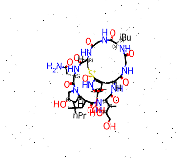 CCCC(C)(C)CC1C(=O)N[C@@H]([C@@H](C)[C@@H](O)CO)C(=O)N[C@H]2Cc3c([nH]c4cc(O)ccc34)[S+]([O-])C[C@H](NC(=O)CNC(=O)[C@H]([C@@H](C)CC)NC(=O)CNC2=O)C(=O)N[C@@H](CC(N)=O)C(=O)N2C[C@H](O)C[C@@H]12